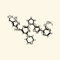 CCc1cc(Nc2cc(N3CCOCC3)nc(N3CCCC3c3cc(-c4nccnc4OC)no3)n2)n[nH]1